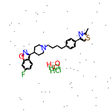 Cc1nc(-c2ccc(CCCCN3CCC(c4noc5cc(F)ccc45)CC3)cc2)cs1.Cl.Cl.O